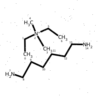 CC[N+](C)(C)CC.NCCCCCCN